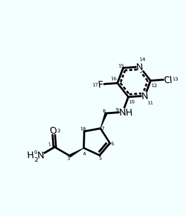 NC(=O)C[C@@H]1C=C[C@H](CNc2nc(Cl)ncc2F)C1